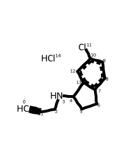 C#CCNC1CCc2ccc(Cl)cc21.Cl